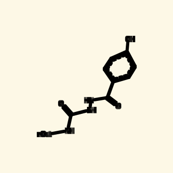 CCCCCCCCNC(=O)NNC(=O)c1ccc(O)cc1